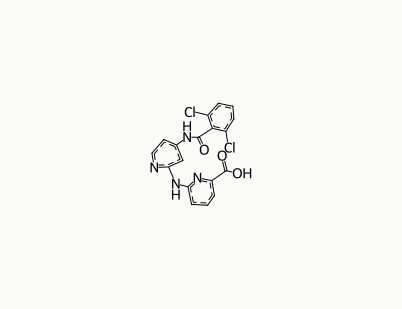 O=C(O)c1cccc(Nc2cc(NC(=O)c3c(Cl)cccc3Cl)ccn2)n1